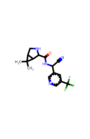 CC1(C)C2CNC(C(=O)NC(C#N)c3cncc(C(F)(F)F)c3)C21